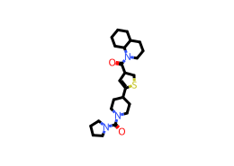 O=C(N1CCCC1)N1CCC(C2=CC(C(=O)N3CCCC4CCCCC43)CS2)CC1